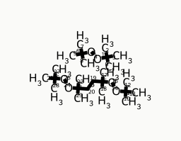 CC(C)(C)OOC(C)(C)C.CC(C)(C)OOC(C)(C)CCC(C)(C)OOC(C)(C)C